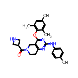 Cc1cc(C#N)cc(C)c1Oc1nc(Nc2ccc(C#N)cc2)nc2c1CN(C(=O)C1CNC1)CC2